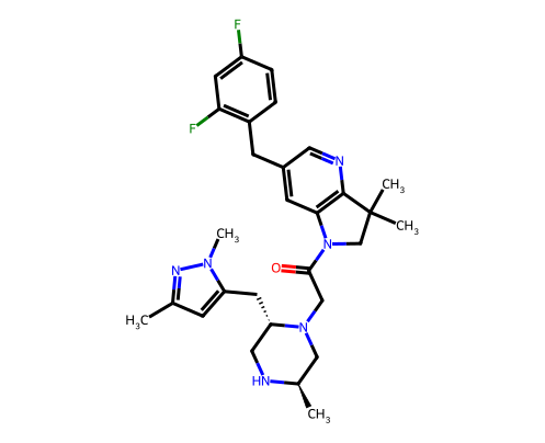 Cc1cc(C[C@H]2CN[C@H](C)CN2CC(=O)N2CC(C)(C)c3ncc(Cc4ccc(F)cc4F)cc32)n(C)n1